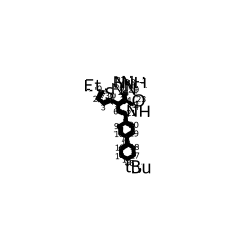 CCc1ccc(-c2cc(-c3ccc(C4=CCC(C(C)(C)C)CC4)cc3)[nH]c(=O)c2-c2nn[nH]n2)s1